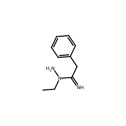 CCN(N)C(=N)Cc1ccccc1